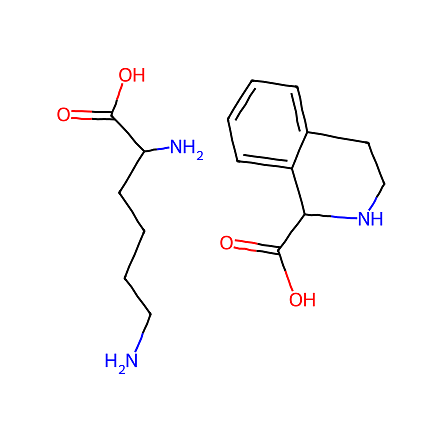 NCCCCC(N)C(=O)O.O=C(O)C1NCCc2ccccc21